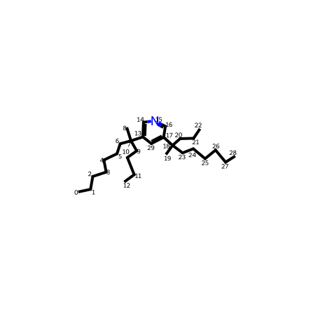 CCCCCCCC(C)(CCCC)c1cncc(C(C)(CCC)CCCCCC)c1